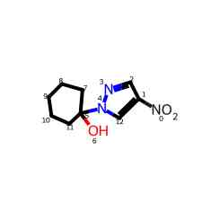 O=[N+]([O-])c1cnn(C2(O)CCCCC2)c1